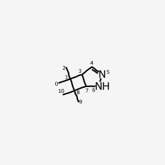 CC1(C)C2C=NNC2C1(C)C